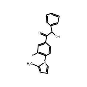 Cc1nccn1-c1ccc(C(=O)C(O)c2ccccc2)cc1F